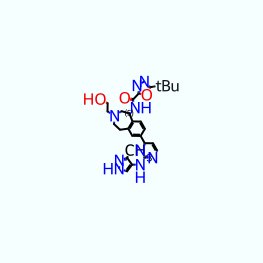 Cc1n[nH]cc1Nc1nccc(-c2ccc3c(c2)CCN(CCO)C[C@H]3NC(=O)c2nnc(C(C)(C)C)o2)n1